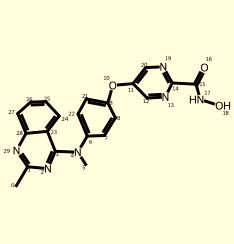 Cc1nc(N(C)c2ccc(Oc3cnc(C(=O)NO)nc3)cc2)c2ccccc2n1